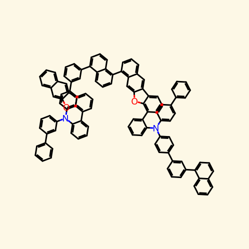 c1ccc(-c2ccc(N(c3ccc(-c4cccc(-c5cccc6ccccc56)c4)cc3)c3ccccc3-c3cccc4c3oc3cc5c(-c6cccc7c(-c8cccc(-c9ccc(N(c%10cccc(-c%11ccccc%11)c%10)c%10ccccc%10-c%10cccc%11c%10oc%10cc%12ccccc%12cc%10%11)cc9)c8)cccc67)cccc5cc34)cc2)cc1